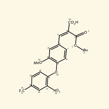 CCC(C)OC(=O)C(=Cc1ccc(Oc2ccc(C(F)(F)F)cc2[N+](=O)[O-])c(OC)c1)C(=O)O